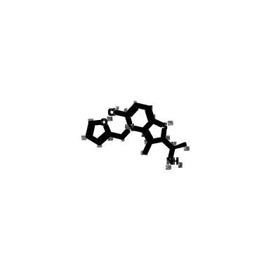 CC1=C2C(=CC=C(Cl)N2Cc2ccco2)SC1[C@@H](C)N